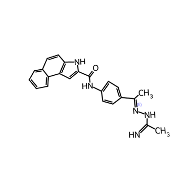 CC(=N)N/N=C(\C)c1ccc(NC(=O)c2cc3c(ccc4ccccc43)[nH]2)cc1